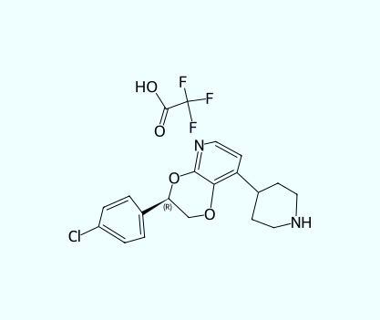 Clc1ccc([C@@H]2COc3c(C4CCNCC4)ccnc3O2)cc1.O=C(O)C(F)(F)F